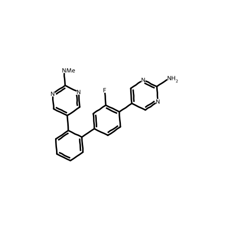 CNc1ncc(-c2ccccc2-c2ccc(-c3cnc(N)nc3)c(F)c2)cn1